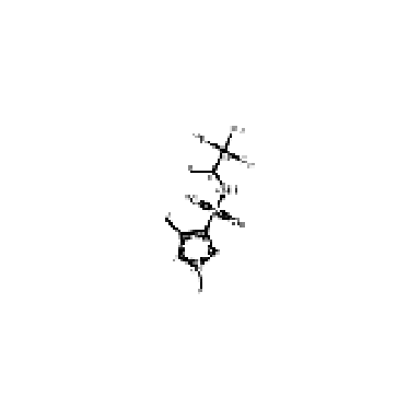 Cc1cn(C)cc1S(=O)(=O)NC(C)C(F)(F)F